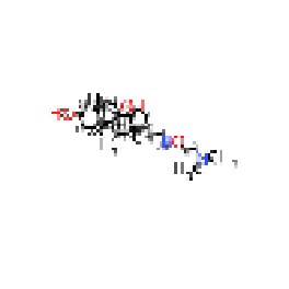 CN(C)CCO/N=C/C[C@H]1CC[C@]2(O)[C@@H]3CC[C@@H]4C[C@@H](O)CC[C@]4(C)[C@H]3CC[C@]12C